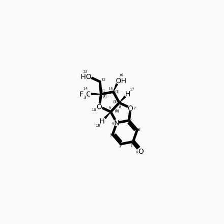 O=c1ccn2c(c1)O[C@@H]1[C@H]2O[C@@](CO)(C(F)(F)F)[C@H]1O